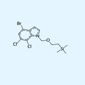 C[Si](C)(C)CCOCn1ccc2c(Br)cc(Cl)c(Cl)c21